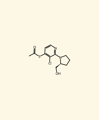 CC(=O)Sc1ccnc(N2CCC[C@H]2CO)c1Cl